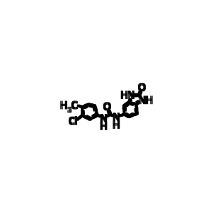 Cc1ccc(NC(=O)Nc2ccc3[nH]c(=O)[nH]c3c2)cc1Cl